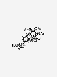 COC(=O)C1O[C@@H](Oc2ccc(CO[Si](C)(C)C(C)(C)C)cc2N)C(OC(C)=O)C(OC(C)=O)[C@@H]1OC(C)=O